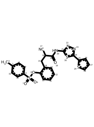 Cc1ccc(S(=O)(=O)Oc2ccccc2CC(C#N)C(=O)Nc2nnc(-c3cccs3)s2)cc1